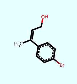 C/C(=C/CO)c1ccc(Br)cc1